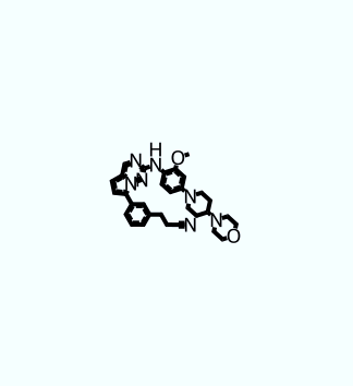 COc1cc(N2CCC(N3CCOCC3)CC2)ccc1Nc1ncc2ccc(-c3cccc(CCC#N)c3)n2n1